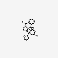 O=C1c2ccccc2C2(CC2)C2(c3ccc(Cl)cc3)N(CC3CC=CO3)CCN12